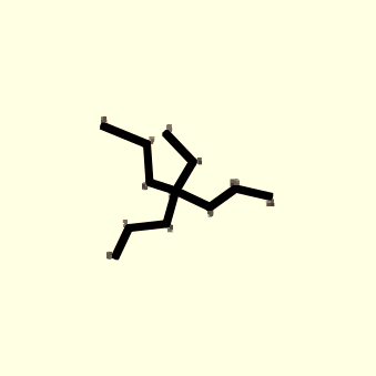 CCCC(CC)(CCC)CCC